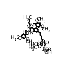 CCCCc1nc2c(NCc3ccc(OC)cc3OC)nc3cc(CCCCCNC(=O)[C@H](CS(=O)(=O)O)NC(=O)OC(C)(C)C)ccc3c2n1Cc1ccc(OC)cc1OC